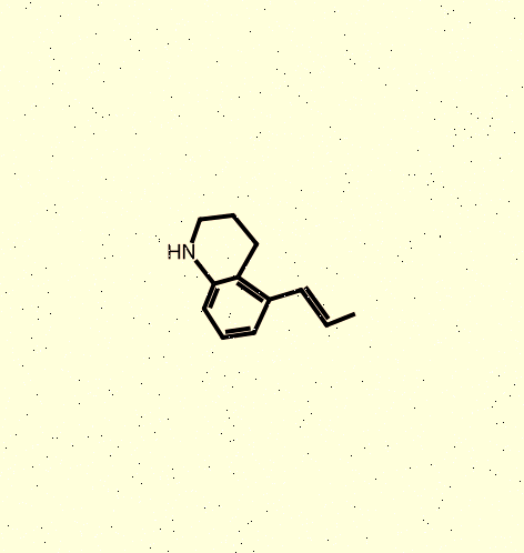 CC=Cc1cccc2c1CCCN2